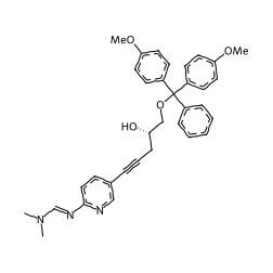 COc1ccc(C(OC[C@@H](O)CC#Cc2ccc(N=CN(C)C)nc2)(c2ccccc2)c2ccc(OC)cc2)cc1